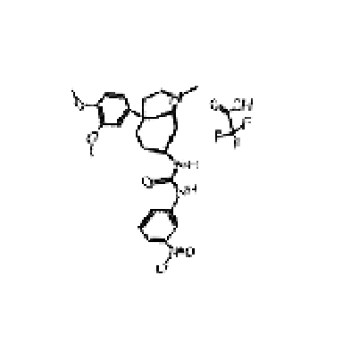 COc1ccc(C23CCC(NC(=O)Nc4cccc([N+](=O)[O-])c4)CC2N(C)CC3)cc1OC.O=C(O)C(F)(F)F